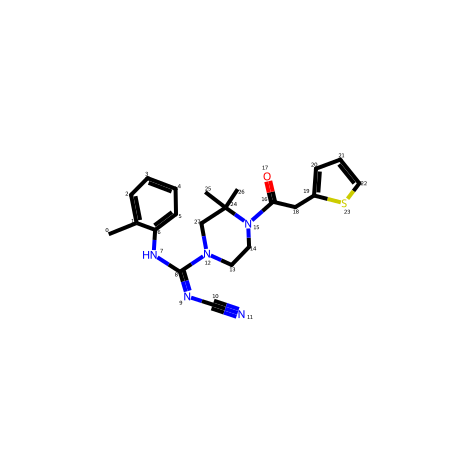 Cc1ccccc1N/C(=N/C#N)N1CCN(C(=O)Cc2cccs2)C(C)(C)C1